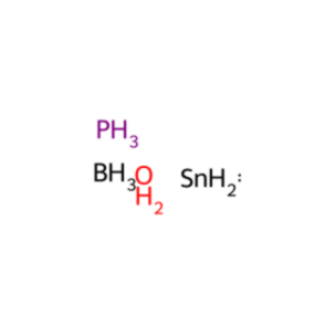 B.O.P.[SnH2]